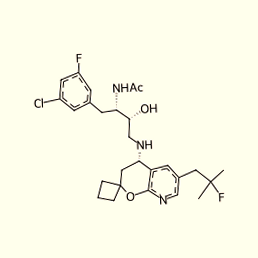 CC(=O)N[C@@H](Cc1cc(F)cc(Cl)c1)[C@H](O)CN[C@H]1CC2(CCC2)Oc2ncc(CC(C)(C)F)cc21